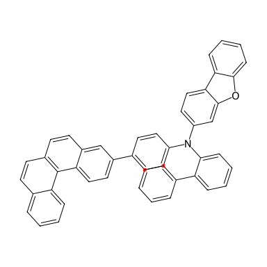 c1ccc(-c2ccccc2N(c2ccc(-c3ccc4c(ccc5ccc6ccccc6c54)c3)cc2)c2ccc3c(c2)oc2ccccc23)cc1